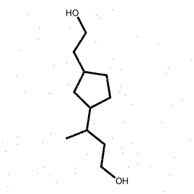 CC(CCO)C1CCC(CCO)C1